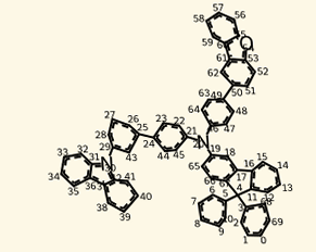 c1ccc(C2(c3ccccc3)c3ccccc3-c3cc(N(c4ccc(-c5cccc(-n6c7ccccc7c7ccccc76)c5)cc4)c4ccc(-c5ccc6oc7ccccc7c6c5)cc4)ccc32)cc1